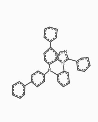 c1ccc(-c2ccc(N(c3ccc(-c4ccccc4)cc3)c3ccccc3-n3ccnc3-c3ccccc3)cc2)cc1